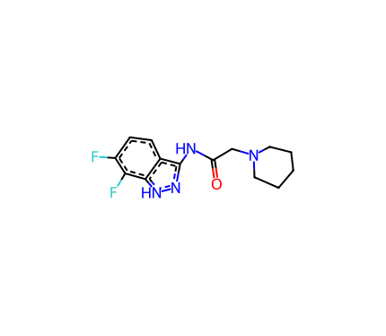 O=C(CN1CCCCC1)Nc1n[nH]c2c(F)c(F)ccc12